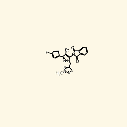 CCc1c(-c2ccc(F)cc2)nn(Cc2nnn(C)n2)c1N1C(=O)c2ccccc2C1=O